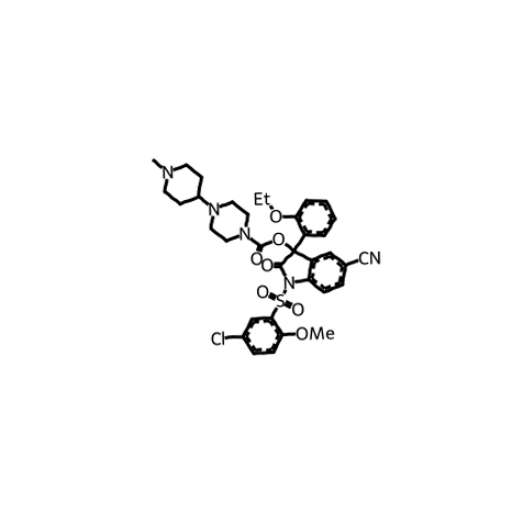 CCOc1ccccc1C1(OC(=O)N2CCN(C3CCN(C)CC3)CC2)C(=O)N(S(=O)(=O)c2cc(Cl)ccc2OC)c2ccc(C#N)cc21